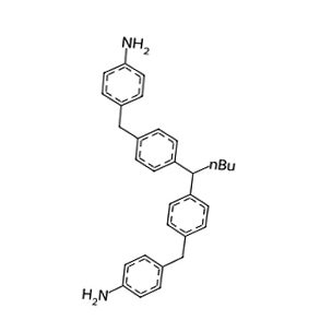 CCCCC(c1ccc(Cc2ccc(N)cc2)cc1)c1ccc(Cc2ccc(N)cc2)cc1